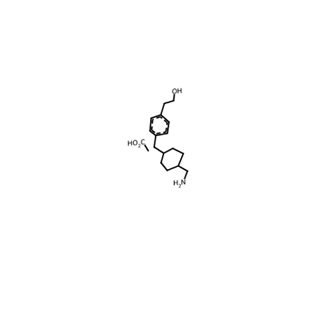 CC(=O)O.NCC1CCC(Cc2ccc(CCO)cc2)CC1